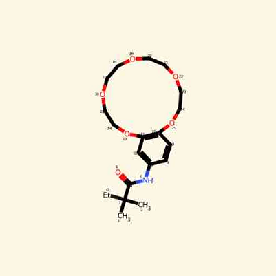 CCC(C)(C)C(=O)Nc1ccc2c(c1)OCCOCCOCCOCCO2